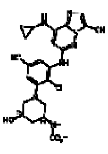 N#Cc1cc(Nc2nc(NC3CC3)c3ncc(C#N)n3n2)c(Cl)c(N2C[C@H](O)C[C@H](NC(=O)O)C2)c1